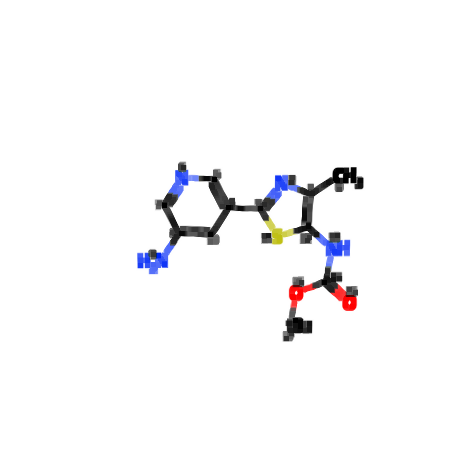 Cc1nc(-c2cncc(N)c2)sc1NC(=O)OC(C)(C)C